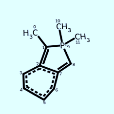 CC1=c2ccccc2=C[P]1(C)C